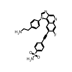 NCCc1ccc(-n2cnc3cnc4cc(F)c(C#Cc5ccc(S(N)(=O)=O)cc5)cc4c32)cc1